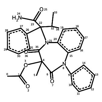 CC(=O)OC1(C)C(=O)N(c2ccccc2)c2ccccc2N(C(C(N)=O)(c2ccccc2)C(C)C)C1=O